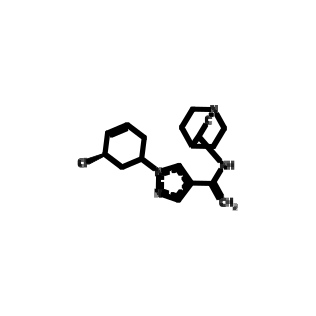 C=C(NC1CN2CCC1CC2)c1cnn(C2CC=C[C@H](Cl)C2)c1